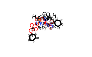 CC(C)C(OC(=O)OC1CCCCC1)OP(=O)(NC(=N)N(C)C(C)C(=O)O)OC(OC(=O)OC1CCCCC1)C(C)C